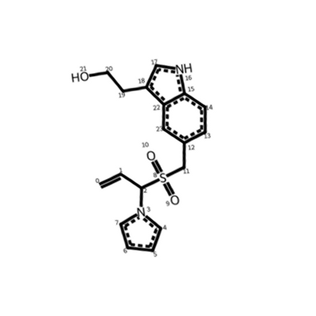 C=CC(n1cccc1)S(=O)(=O)Cc1ccc2[nH]cc(CCO)c2c1